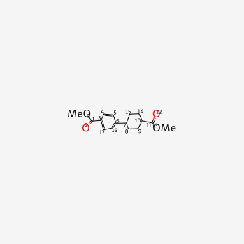 COC(=O)c1ccc(C2CCC(C(=O)OC)CC2)cc1